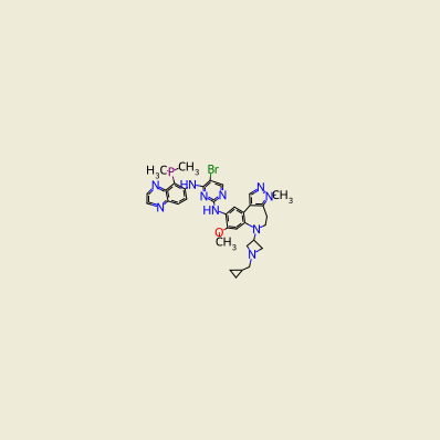 COc1cc2c(cc1Nc1ncc(Br)c(Nc3ccc4nccnc4c3P(C)C)n1)-c1cnn(C)c1CCN2C1CN(CC2CC2)C1